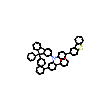 c1ccc(-c2ccc(-c3ccccc3)c(N(c3ccc(-c4ccc5sc6ccccc6c5c4)cc3)c3ccc4c(c3)C(c3ccccc3)(c3ccccc3)c3ccccc3-4)c2)cc1